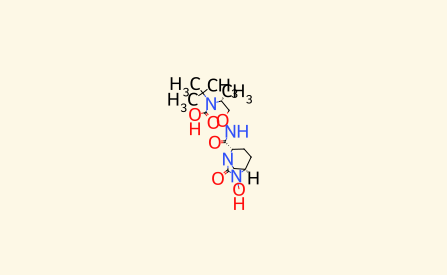 C[C@H](CONC(=O)[C@@H]1CC[C@@H]2CN1C(=O)N2O)N(C(=O)O)C(C)(C)C